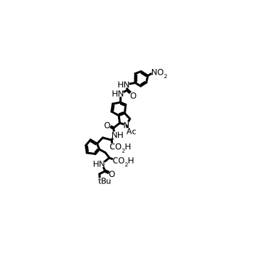 CC(=O)N1Cc2cc(NC(=O)Nc3ccc([N+](=O)[O-])cc3)ccc2C1C(=O)NC(Cc1ccccc1CC(NC(=O)CC(C)(C)C)C(=O)O)C(=O)O